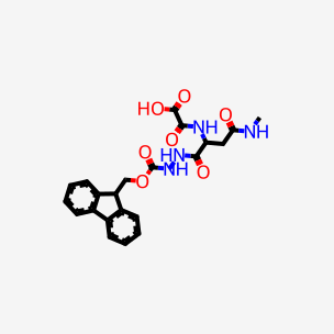 CNC(=O)CC(NC(=O)C(=O)O)C(=O)NNC(=O)OCC1c2ccccc2-c2ccccc21